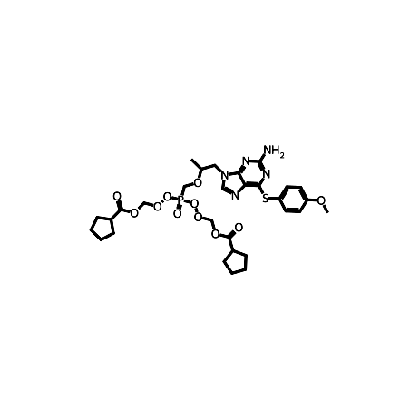 COc1ccc(Sc2nc(N)nc3c2ncn3CC(C)OCP(=O)(OOCOC(=O)C2CCCC2)OOCOC(=O)C2CCCC2)cc1